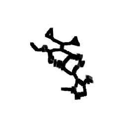 CCOC(=O)C(c1nnc(-c2c(F)cnn2C)[nH]1)C(C1CC1)C1CC1